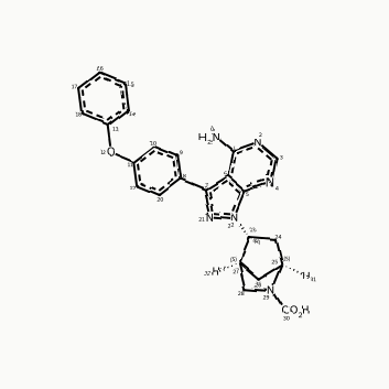 Nc1ncnc2c1c(-c1ccc(Oc3ccccc3)cc1)nn2[C@@H]1C[C@@H]2C[C@H]1CN2C(=O)O